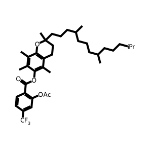 CC(=O)Oc1cc(C(F)(F)F)ccc1C(=O)Oc1c(C)c(C)c2c(c1C)CCC(C)(CCCC(C)CCCC(C)CCCC(C)C)O2